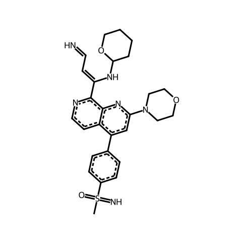 CS(=N)(=O)c1ccc(-c2cc(N3CCOCC3)nc3c(/C(=C/C=N)NC4CCCCO4)nccc23)cc1